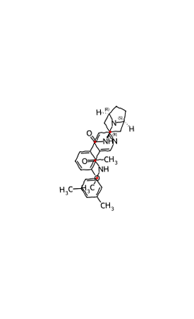 COc1cccc(C(=O)N[C@H]2C[C@H]3CC[C@@H](C2)N3c2ccc(C(=O)Nc3cc(C)cc(C)c3)cn2)c1C